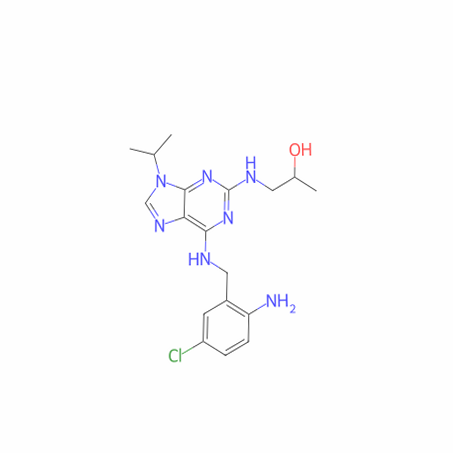 CC(O)CNc1nc(NCc2cc(Cl)ccc2N)c2ncn(C(C)C)c2n1